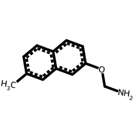 Cc1ccc2ccc(OCN)cc2c1